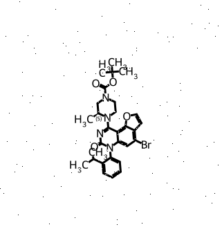 CC(C)c1ccccc1-n1c(=O)nc(N2CCN(C(=O)OC(C)(C)C)C[C@@H]2C)c2c3occc3c(Br)cc21